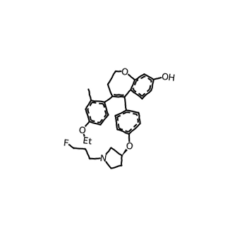 CCOc1ccc(C2=C(c3ccc(O[C@H]4CCN(CCCF)C4)cc3)c3ccc(O)cc3OCC2)c(C)c1